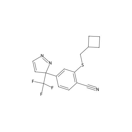 N#Cc1ccc(C2(C(F)(F)F)C=CN=N2)cc1SCC1CCC1